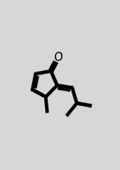 CC(C)/C=C1/C(=O)C=CC1C